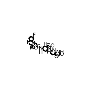 O=C1COc2ccc(N3C(=O)O[C@@H]4C[C@H](NC[C@@H](O)Cn5c(=O)cnc6ccc(F)cc65)CC[C@H]43)nc2N1